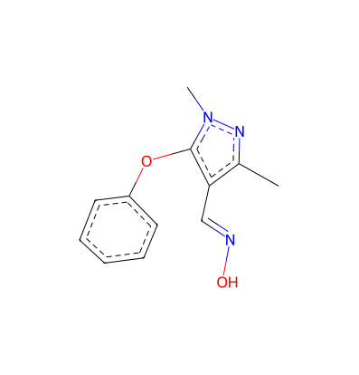 Cc1nn(C)c(Oc2ccccc2)c1C=NO